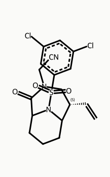 C=C[C@H]1CN(CC#N)C(=O)C2CCCC1N2S(=O)(=O)c1cc(Cl)cc(Cl)c1